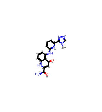 CC(C)n1cnnc1-c1cccc(Nc2cccc3[nH]c(C(N)=O)cc(=O)c23)n1